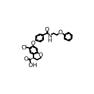 O=C(NCCOc1ccccc1)c1ccc(Oc2cc3c(cc2Cl)[C@H](C(=O)O)CCO3)cc1